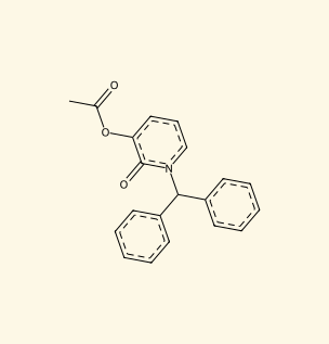 CC(=O)Oc1cccn(C(c2ccccc2)c2ccccc2)c1=O